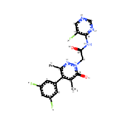 Cc1c(-c2cc(F)cc(F)c2)c(C(C)C)nn(CC(=O)Nc2ncncc2F)c1=O